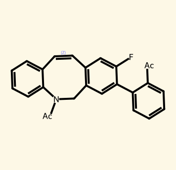 CC(=O)c1ccccc1-c1cc2c(cc1F)/C=C\c1ccccc1N(C(C)=O)C2